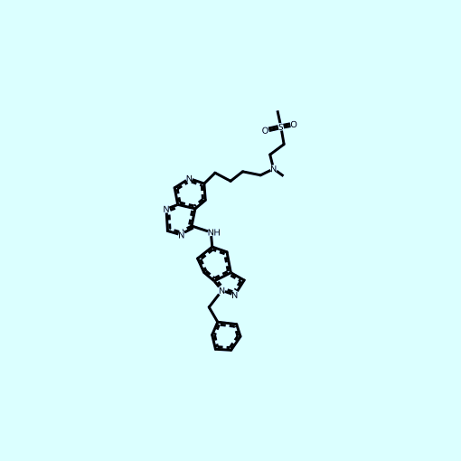 CN(CCCCc1cc2c(Nc3ccc4c(cnn4Cc4ccccc4)c3)ncnc2cn1)CCS(C)(=O)=O